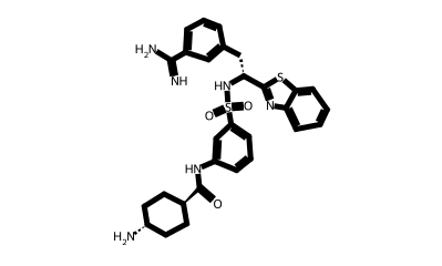 N=C(N)c1cccc(C[C@@H](NS(=O)(=O)c2cccc(NC(=O)[C@H]3CC[C@H](N)CC3)c2)c2nc3ccccc3s2)c1